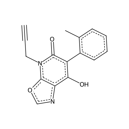 C#CCn1c(=O)c(-c2ccccc2C)c(O)c2ncoc21